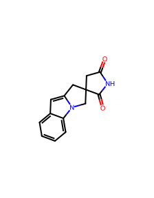 O=C1CC2(Cc3cc4ccccc4n3C2)C(=O)N1